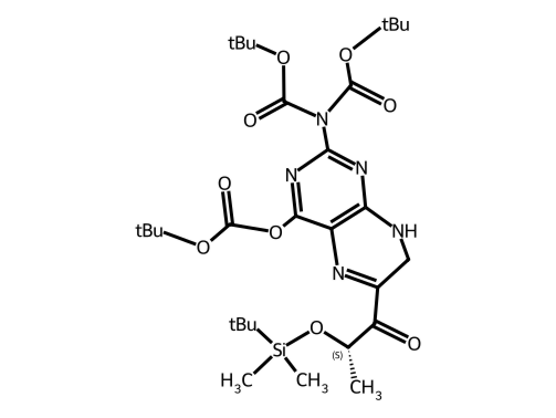 C[C@H](O[Si](C)(C)C(C)(C)C)C(=O)C1=Nc2c(nc(N(C(=O)OC(C)(C)C)C(=O)OC(C)(C)C)nc2OC(=O)OC(C)(C)C)NC1